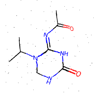 CC(=O)N=C1NC(=O)NCN1C(C)C